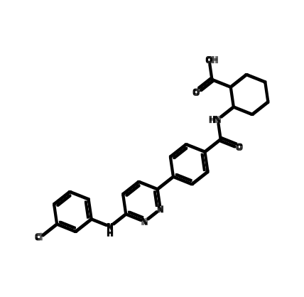 O=C(NC1CCCCC1C(=O)O)c1ccc(-c2ccc(Nc3cccc(Cl)c3)nn2)cc1